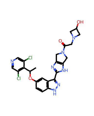 CC(Oc1ccc2[nH]nc(-c3nc4c([nH]3)CN(C(=O)CN3CC(O)C3)C4)c2c1)c1c(Cl)cncc1Cl